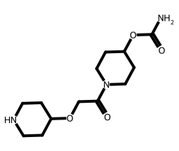 NC(=O)OC1CCN(C(=O)COC2CCNCC2)CC1